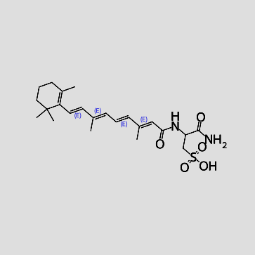 CC1=C(/C=C/C(C)=C/C=C/C(C)=C/C(=O)NC(CS(=O)(=O)O)C(N)=O)C(C)(C)CCC1